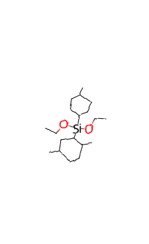 CCO[Si](OCC)(C1CCC(C)CC1)C1CC(C)CCC1C